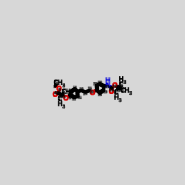 CCOC(=O)C(C)(C)Oc1ccc(CCCOc2ccc(NC(=O)OC(C)(C)C)cc2)cc1